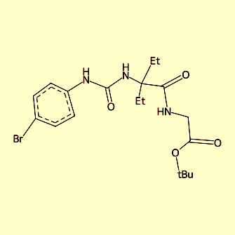 CCC(CC)(NC(=O)Nc1ccc(Br)cc1)C(=O)NCC(=O)OC(C)(C)C